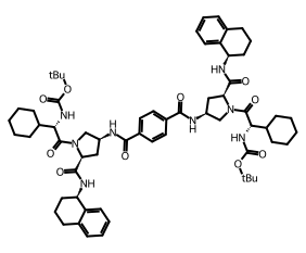 CC(C)(C)OC(=O)N[C@H](C(=O)N1C[C@@H](NC(=O)c2ccc(C(=O)N[C@H]3C[C@@H](C(=O)N[C@@H]4CCCc5ccccc54)N(C(=O)[C@@H](NC(=O)OC(C)(C)C)C4CCCCC4)C3)cc2)C[C@H]1C(=O)N[C@@H]1CCCc2ccccc21)C1CCCCC1